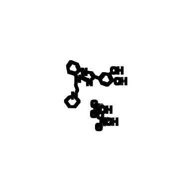 O=[N+]([O-])O.O=[N+]([O-])O.Oc1ccc(-c2cn3c4ccccc4n(CCN4CCCCC4)c3n2)cc1O